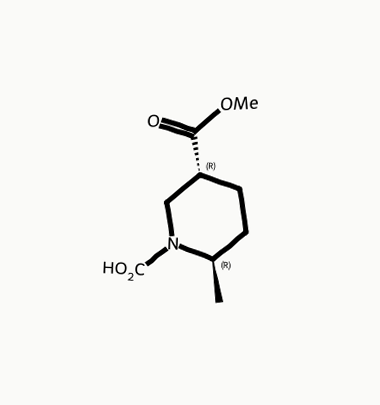 COC(=O)[C@@H]1CC[C@@H](C)N(C(=O)O)C1